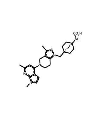 Cc1cc(N2CCc3c(c(C)nn3CC34CCC(NC(=O)O)(CC3)CC4)C2)c2ccn(C)c2n1